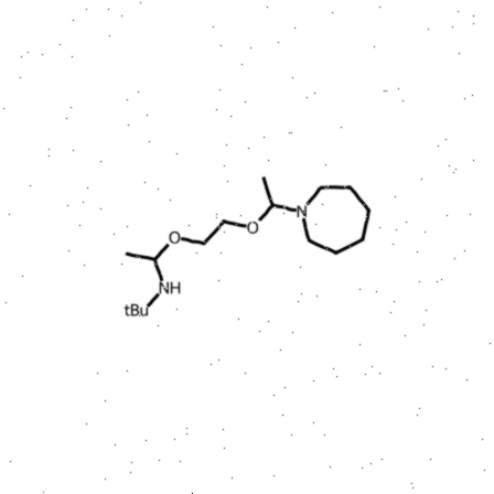 CC(NC(C)(C)C)OCCOC(C)N1CCCCCC1